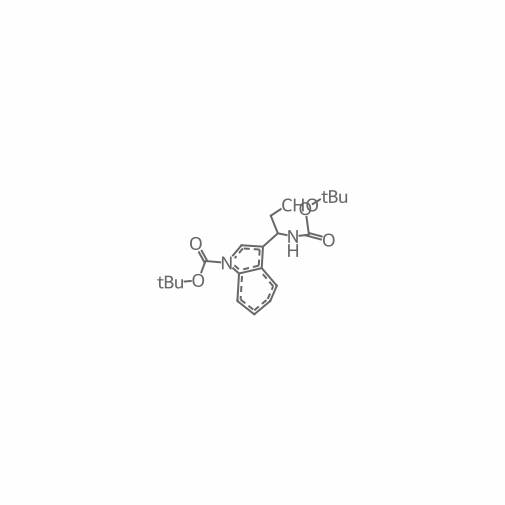 CC(C)(C)OC(=O)NC(CC=O)c1cn(C(=O)OC(C)(C)C)c2ccccc12